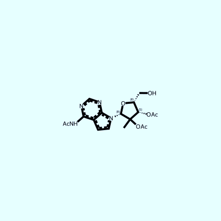 CC(=O)Nc1ncnc2c1ccn2[C@@H]1O[C@H](CO)[C@H](OC(C)=O)C1(C)OC(C)=O